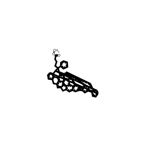 COC(=O)CCCC1(c2ccccc2)C23c4c5ccc6c4-c4c7c8c9c(c%10c%11c2c-5ccc%11c2cc5c%11cc%12cc%13c%14c%15c(cc(c4c%15c8c4c%14c%12c8c%11c5c(c2%10)c9c84)C6)C%13)C713